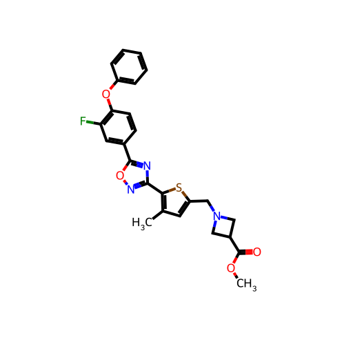 COC(=O)C1CN(Cc2cc(C)c(-c3noc(-c4ccc(Oc5ccccc5)c(F)c4)n3)s2)C1